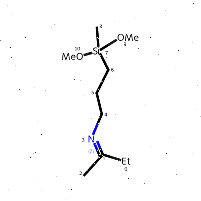 CC/C(C)=N\CCC[Si](C)(OC)OC